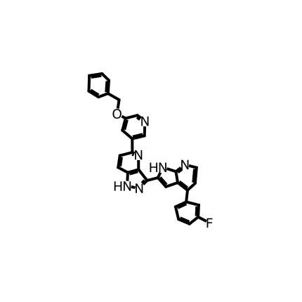 Fc1cccc(-c2ccnc3[nH]c(-c4n[nH]c5ccc(-c6cncc(OCc7ccccc7)c6)nc45)cc23)c1